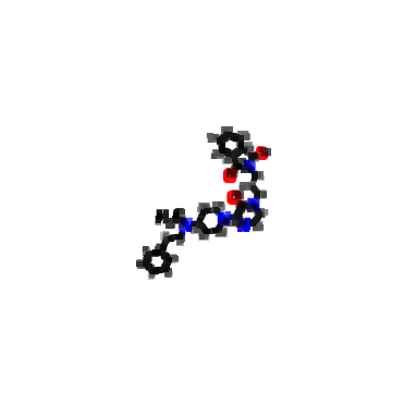 CN(CCc1ccccc1)C1CCN(c2nccn(CCCN3C(=O)c4ccccc4C3=O)c2=O)CC1